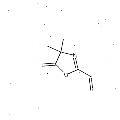 C=CC1=NC(C)(C)C(=C)O1